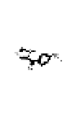 Cn1cncc1C(=O)c1ccc([N+](=O)[O-])cc1